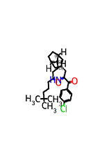 CC(C)(C)CCCC(=O)CC[C@@H]1[C@@H]2CC[C@H]1C[C@H](CC(=N)C(=O)c1ccc(Cl)cc1)C2